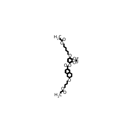 C=CC(=O)OCCCCCCOc1ccc(OC(=O)c2ccc3c(c2)CCC(OCCCCOC(=O)C=C)C3)c2c1OC(F)(F)O2